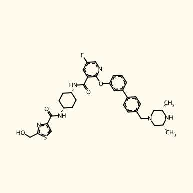 C[C@@H]1CN(Cc2ccc(-c3cccc(Oc4ncc(F)cc4C(=O)N[C@H]4CC[C@@H](NC(=O)c5csc(CO)n5)CC4)c3)cc2)C[C@H](C)N1